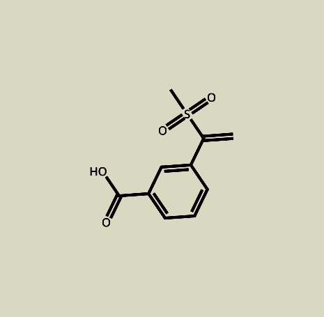 C=C(c1cccc(C(=O)O)c1)S(C)(=O)=O